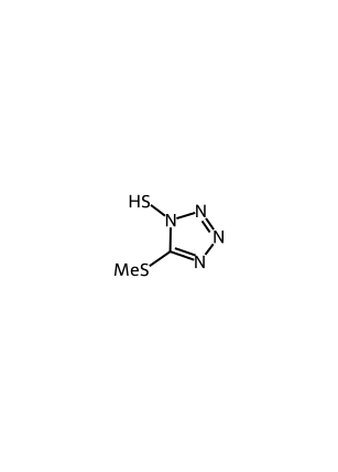 CSc1nnnn1S